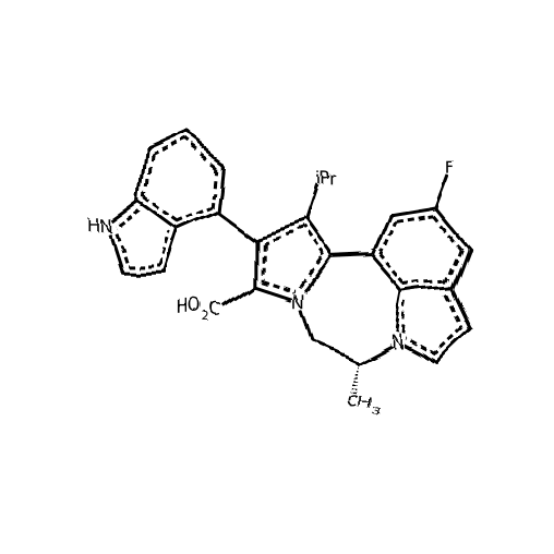 CC(C)c1c(-c2cccc3[nH]ccc23)c(C(=O)O)n2c1-c1cc(F)cc3ccn(c13)[C@H](C)C2